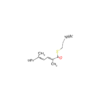 CCC/C(C)=C/C=C(\C)C(=O)SCCNC(C)=O